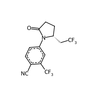 N#Cc1ccc(N2C(=O)CC[C@@H]2CC(F)(F)F)cc1C(F)(F)F